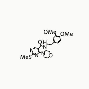 COc1ccc(CCNC(=O)c2cnc(SC)nc2N2CCOCC2)cc1OC